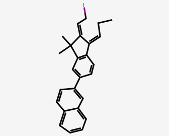 CC/C=C1\C(=C/CI)C(C)(C)c2cc(-c3ccc4ccccc4c3)ccc21